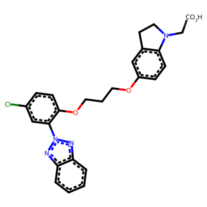 O=C(O)CN1CCc2cc(OCCCOc3ccc(Cl)cc3-n3nc4ccccc4n3)ccc21